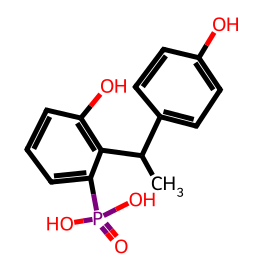 CC(c1ccc(O)cc1)c1c(O)cccc1P(=O)(O)O